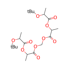 CC(OC(=O)C(C)OC(C)(C)C)C(=O)OCOC(=O)C(C)OC(=O)C(C)OC(C)(C)C